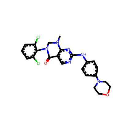 CN1CN(c2c(Cl)cccc2Cl)C(=O)c2cnc(Nc3ccc(N4CCOCC4)cc3)nc21